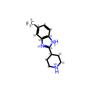 FC(F)(F)c1ccc2[nH]c(C3CCNCC3)nc2c1